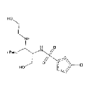 CCCCCC(NCCO)[C@@H](CO)NS(=O)(=O)c1ccc(Cl)s1